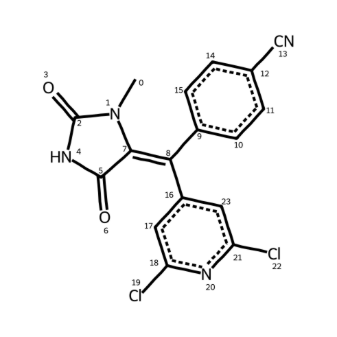 CN1C(=O)NC(=O)C1=C(c1ccc(C#N)cc1)c1cc(Cl)nc(Cl)c1